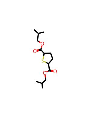 CC(C)COC(=O)C1CCC(C(=O)OCC(C)C)S1